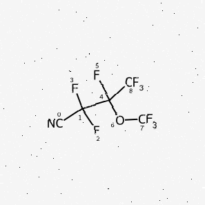 N#CC(F)(F)C(F)(OC(F)(F)F)C(F)(F)F